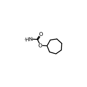 [NH]C(=O)OC1CCCCCC1